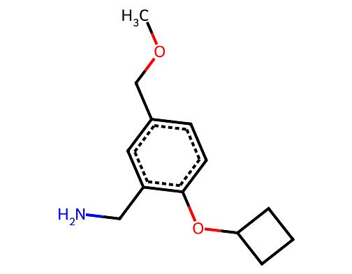 COCc1ccc(OC2CCC2)c(CN)c1